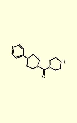 O=C(N1CCNCC1)N1CCC(c2ccncc2)CC1